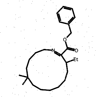 CCC1CCCCCCC(C)(C)CCCC/N=C\1C(=O)OCc1ccccc1